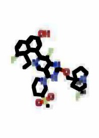 CCc1c(F)ccc2cc(O)cc(-c3ncc4c(N5CCCC(S(C)(=O)=O)C5)nc(OC[C@@]56CCCN5C[C@H](F)C6)nc4c3F)c12